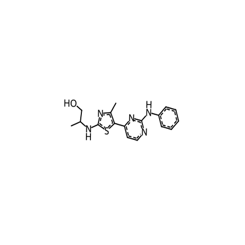 Cc1nc(NC(C)CO)sc1-c1ccnc(Nc2ccccc2)n1